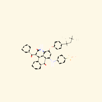 CC(C)(C)CC(C)(C)c1ccc(Oc2cc(Nc3ccc(S(=O)(=O)O)cc3)c3c4c(c(C(=O)c5ccccc5)c(=O)[nH]c24)-c2ccccc2C3=O)cc1